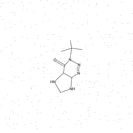 CC(C)(C)N1N=NC2NCNC2C1=O